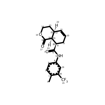 Cc1ccc(NC(=O)[C@@H]2CC=C[C@@H]3CCOC(=O)[C@@H]32)cc1C(F)(F)F